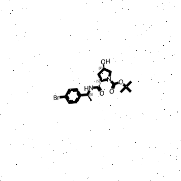 C[C@H](NC(=O)[C@@H]1C[C@@H](O)CN1C(=O)OC(C)(C)C)c1ccc(Br)cc1